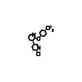 FC(F)(F)c1ccc(Oc2ncccc2-c2ccc(Cl)nc2)cc1